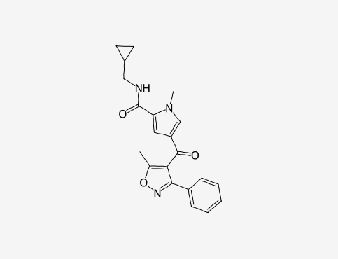 Cc1onc(-c2ccccc2)c1C(=O)c1cc(C(=O)NCC2CC2)n(C)c1